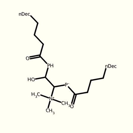 CCCCCCCCCCCCCC(=O)[P-]C(C(O)PC(=O)CCCCCCCCCCCCC)[N+](C)(C)C